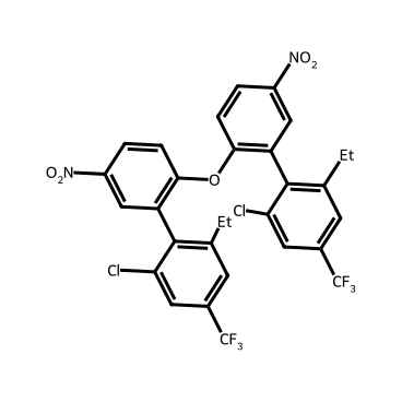 CCc1cc(C(F)(F)F)cc(Cl)c1-c1cc([N+](=O)[O-])ccc1Oc1ccc([N+](=O)[O-])cc1-c1c(Cl)cc(C(F)(F)F)cc1CC